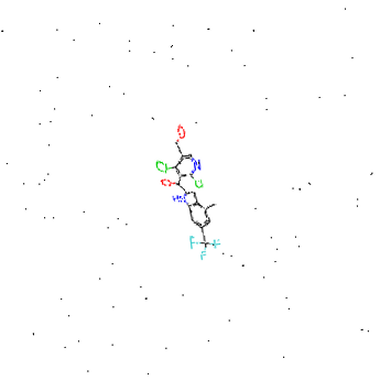 Cc1cc(C(F)(F)F)cc2[nH]c(C(=O)c3c(Cl)ncc(C=O)c3Cl)cc12